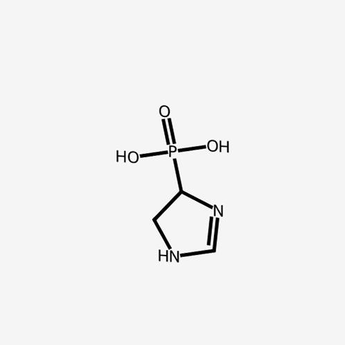 O=P(O)(O)C1CNC=N1